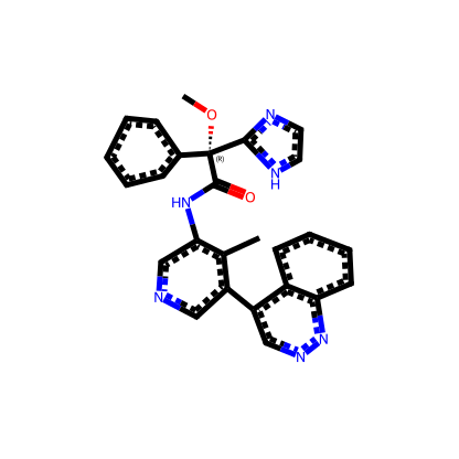 CO[C@](C(=O)Nc1cncc(-c2cnnc3ccccc23)c1C)(c1ccccc1)c1ncc[nH]1